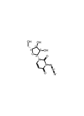 [N-]=[N+]=Nn1c(=O)ccn([C@@H]2O[C@H](CO)[C@@H](O)[C@H]2O)c1=O